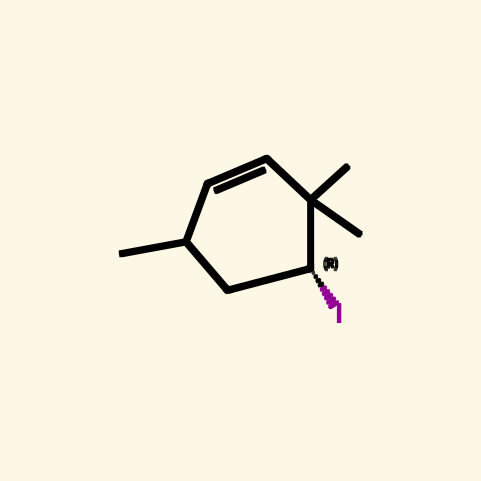 CC1C=CC(C)(C)[C@H](I)C1